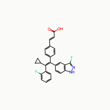 O=C(O)C=Cc1ccc(C(=C(c2ccccc2F)C2CC2)c2ccc3[nH]nc(F)c3c2)cc1